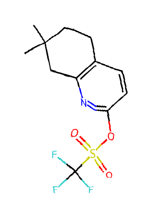 CC1(C)CCc2ccc(OS(=O)(=O)C(F)(F)F)nc2C1